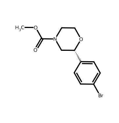 COC(=O)N1CCO[C@H](c2ccc(Br)cc2)C1